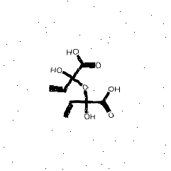 C=CC(O)(OC(O)(C=C)C(=O)O)C(=O)O